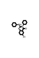 CCc1ccc2nc(Nc3ccccc3)n(-c3ccccc3)c(=O)c2c1